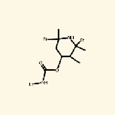 CCNC(=O)OC1CC(C)(CC)NC(C)(CC)C1C